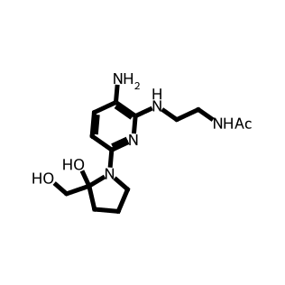 CC(=O)NCCNc1nc(N2CCCC2(O)CO)ccc1N